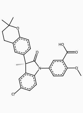 COc1ccc(N2C(=O)[C@](C)(c3ccc4c(c3)CCC(C)(C)O4)c3cc(Cl)ccc32)cc1C(=O)O